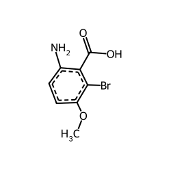 COc1ccc(N)c(C(=O)O)c1Br